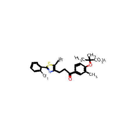 Cc1cc(C(=O)CCc2nc(-c3ccccc3C(F)(F)F)sc2C(C)C)ccc1OC(C)(C)C(=O)O